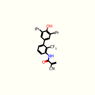 C=C(C#N)C(=O)Nc1cccc(-c2cc(C(C)C)c(O)c(C(C)C)c2)c1C(F)(F)F